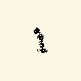 Fc1ccc(Cl)c(-c2ccc(OCC3C[C@@H]4CN(CC56CC7CC(CC(C7)C5)C6)C[C@@H]4C3)nn2)c1